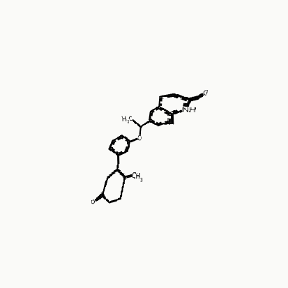 CC(Oc1cccc(C2CC(=O)CCC2C)c1)c1ccc2[nH]c(=O)ccc2c1